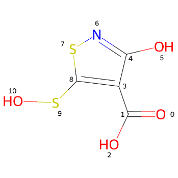 O=C(O)c1c(O)nsc1SO